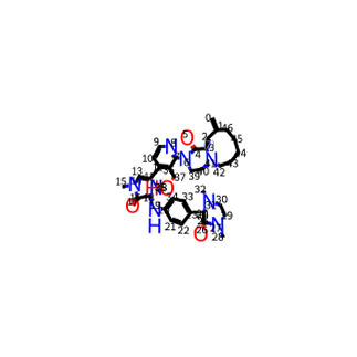 C=C1/C=C2/C(=O)N(c3nccc(-c4cn(C)c(=O)c(Nc5ccc([C@@H]6C(=O)N(C)CCN6C)cc5)n4)c3CO)CCN2CCCCC1